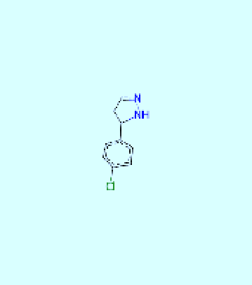 Clc1ccc(C2CC=NN2)cc1